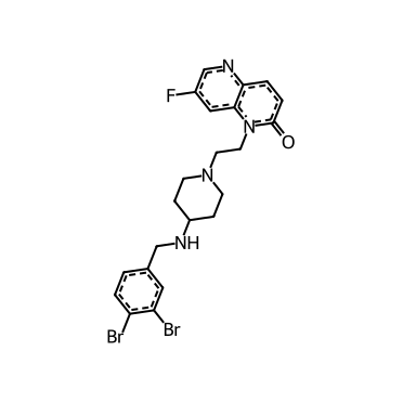 O=c1ccc2ncc(F)cc2n1CCN1CCC(NCc2ccc(Br)c(Br)c2)CC1